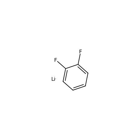 Fc1ccccc1F.[Li]